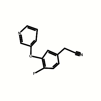 N#CCc1ccc(F)c(Oc2cccnc2)c1